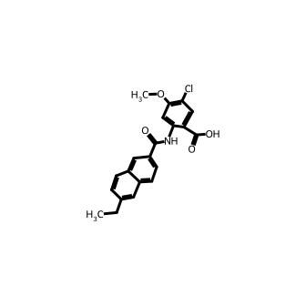 CCc1ccc2cc(C(=O)Nc3cc(OC)c(Cl)cc3C(=O)O)ccc2c1